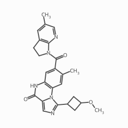 COC1CC(c2ncc3c(=O)[nH]c4cc(C(=O)N5CCc6cc(C)cnc65)c(C)cc4n23)C1